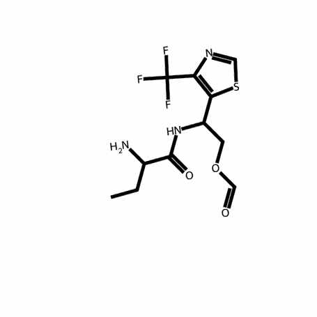 CCC(N)C(=O)NC(COC=O)c1scnc1C(F)(F)F